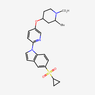 CC(C)(C)C1CC(Oc2ccc(-n3ccc4cc(S(=O)(=O)C5CC5)ccc43)nc2)CCN1C(=O)O